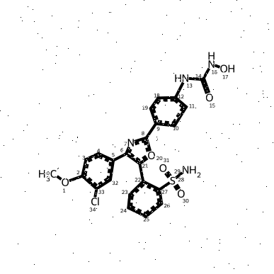 COc1ccc(-c2nc(-c3ccc(NC(=O)NO)cc3)oc2-c2ccccc2S(N)(=O)=O)cc1Cl